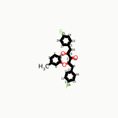 Cc1ccc2c(c1)O/C(=C\c1ccc(F)cc1)C(=O)/C(=C/c1ccc(F)cc1)O2